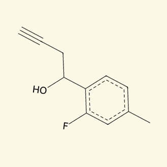 C#CCC(O)c1ccc(C)cc1F